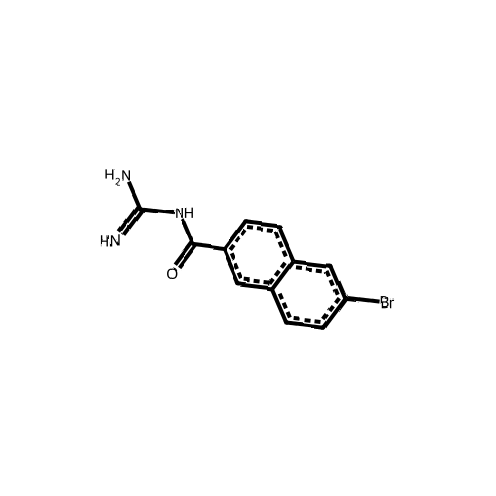 N=C(N)NC(=O)c1ccc2cc(Br)ccc2c1